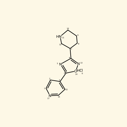 Cl.c1cc(-c2nc(C3CCCNC3)no2)ccn1